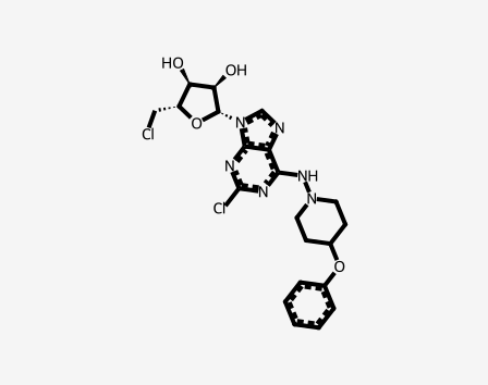 O[C@@H]1[C@H](O)[C@@H](CCl)O[C@H]1n1cnc2c(NN3CCC(Oc4ccccc4)CC3)nc(Cl)nc21